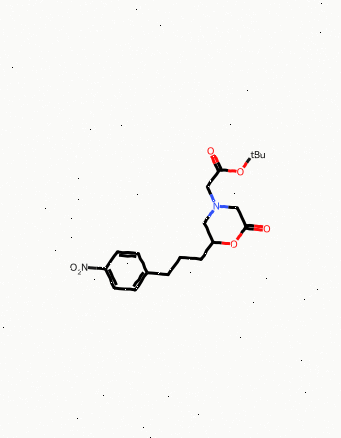 CC(C)(C)OC(=O)CN1CC(=O)OC(CCCc2ccc([N+](=O)[O-])cc2)C1